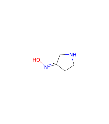 ON=C1CCNC1